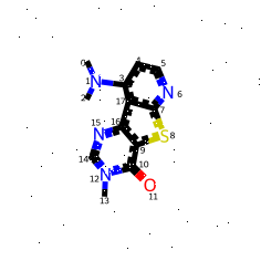 CN(C)c1ccnc2sc3c(=O)n(C)cnc3c12